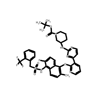 Cc1ccc2c(NS(=O)(=O)Cc3ccccc3C(F)(F)F)c(F)ccc2c1Oc1ncccc1-c1ccnc(NC2CCCN(C(=O)OC(C)(C)C)C2)n1